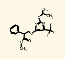 COC(=O)C(COc1cc(C(F)(F)F)nc(OC(C)C)n1)c1ccccc1